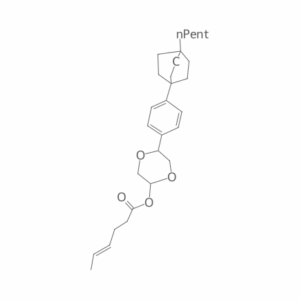 C/C=C/CCC(=O)OC1COC(c2ccc(C34CCC(CCCCC)(CC3)CC4)cc2)CO1